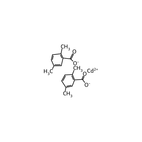 Cc1ccc(C)c(C(=O)[O-])c1.Cc1ccc(C)c(C(=O)[O-])c1.[Cd+2]